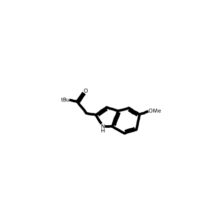 COc1ccc2[nH]c(CC(=O)C(C)(C)C)cc2c1